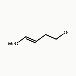 CO/C=C/CC[O]